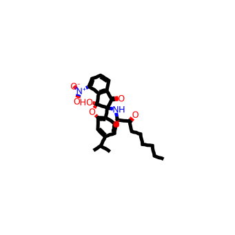 CCCCCCC(=O)C(=O)NC12C(=O)c3cccc([N+](=O)[O-])c3C1(O)Oc1cc(C(C)C)ccc12